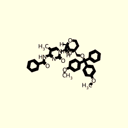 COc1ccc(C(OC[C@@]23CCO[C@@H]([C@H](n4cc(C)c(NC(=O)c5ccccc5)nc4=O)O2)[C@@H]3O)(c2ccccc2)c2ccc(OC)cc2)cc1